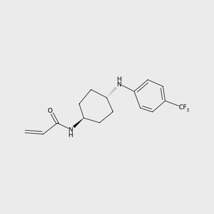 C=CC(=O)N[C@H]1CC[C@H](Nc2ccc(C(F)(F)F)cc2)CC1